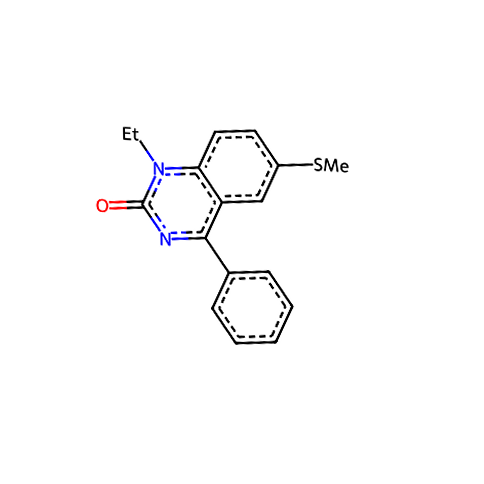 CCn1c(=O)nc(-c2ccccc2)c2cc(SC)ccc21